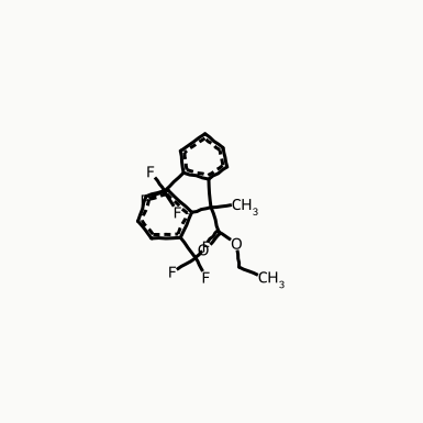 CCOC(=O)C(C)(c1ccccc1C(F)(F)F)c1ccccc1C(F)(F)F